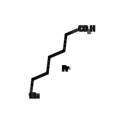 CC(C)(C)CCCCCC(=O)O.[Pr]